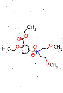 CCOC(=O)c1cc(S(=O)(=O)N(CCOC)CCOC)ccc1OCC